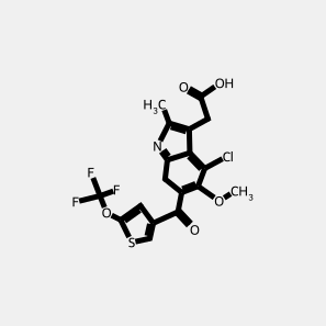 COC1=C(C(=O)c2csc(OC(F)(F)F)c2)CC2=NC(C)=C(CC(=O)O)C2=C1Cl